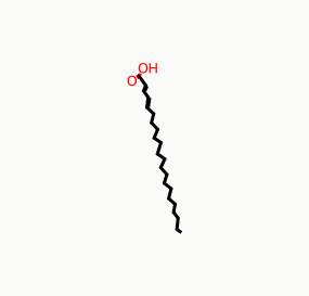 CCCCCCCCCCCCCCCCCC=CC=CC(=O)O